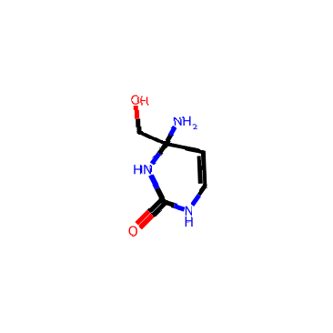 NC1(CO)C=CNC(=O)N1